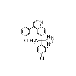 Cc1cc(-c2cccc(Cl)c2)c2cc(C(N)(c3ccc(Cl)cc3)c3nncn3C)ccc2n1